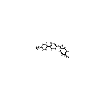 Nc1ccc(-c2ccc(Nc3ccc(Br)cc3)cc2)cc1